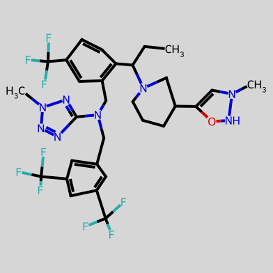 CCC(c1ccc(C(F)(F)F)cc1CN(Cc1cc(C(F)(F)F)cc(C(F)(F)F)c1)c1nnn(C)n1)N1CCCC(C2=CN(C)NO2)C1